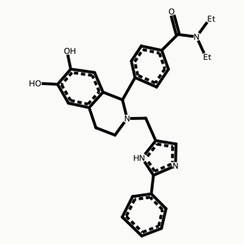 CCN(CC)C(=O)c1ccc(C2c3cc(O)c(O)cc3CCN2Cc2cnc(-c3ccccc3)[nH]2)cc1